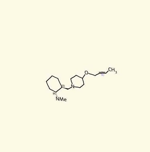 C/C=C/COC1CCN(C[C@@H]2CCCC[C@H]2NC)CC1